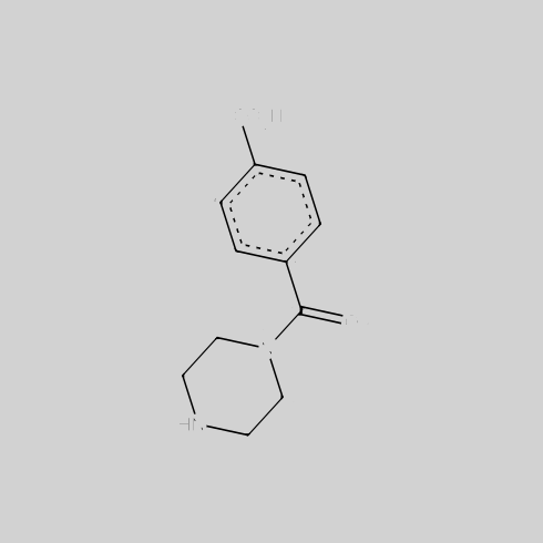 O=C(O)c1ccc(C(=O)N2CCNCC2)cc1